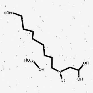 CCCCCCCCCCCCCCCCCCN(CC)CC(O)O.O=S(=O)(O)O